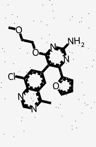 COCCOc1nc(N)nc(-c2ccco2)c1-c1cc(Cl)c2ncnc(C)c2c1